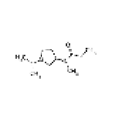 CCC(=O)N(C)[C@@H]1CCN(C(C)C)C1